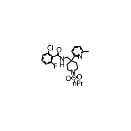 CCCS(=O)(=O)N1CCC(CNC(=O)c2c(F)cccc2Cl)(c2cccc(C)n2)CC1